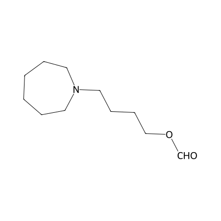 O=COCCCCN1CCCCCC1